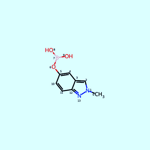 Cn1cc2cc(OB(O)O)ccc2n1